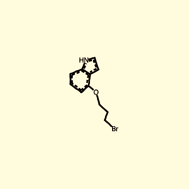 BrCCCOc1cccc2[nH]ccc12